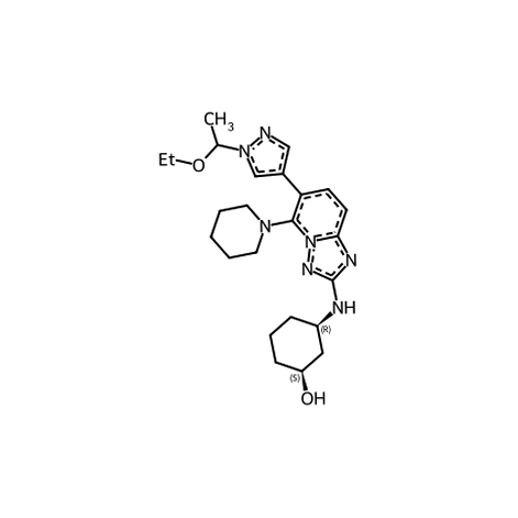 CCOC(C)n1cc(-c2ccc3nc(N[C@@H]4CCC[C@H](O)C4)nn3c2N2CCCCC2)cn1